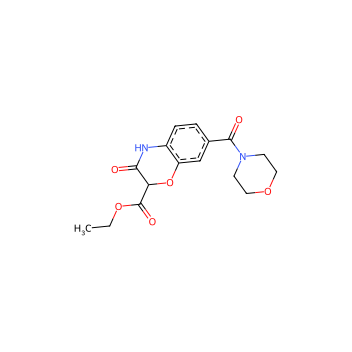 CCOC(=O)C1Oc2cc(C(=O)N3CCOCC3)ccc2NC1=O